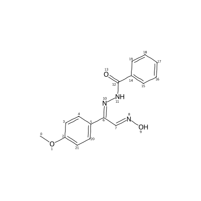 COc1ccc(C(C=NO)=NNC(=O)c2ccccc2)cc1